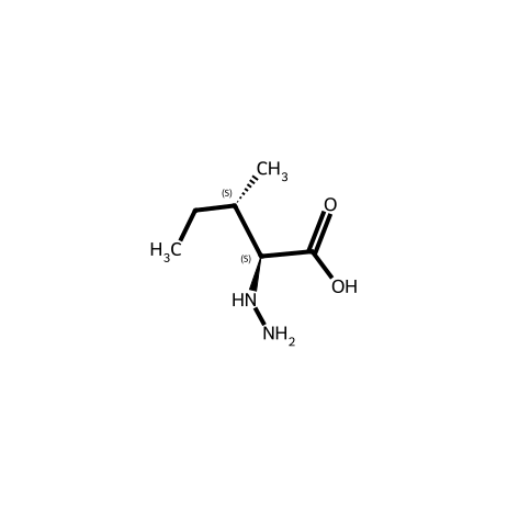 CC[C@H](C)[C@H](NN)C(=O)O